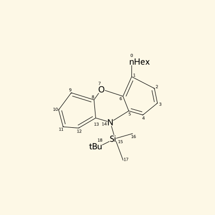 CCCCCCc1cccc2c1Oc1ccccc1N2[Si](C)(C)C(C)(C)C